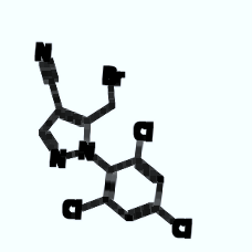 N#Cc1cnn(-c2c(Cl)cc(Cl)cc2Cl)c1CBr